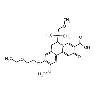 CCOCCOc1cc2c(cc1OC)-c1cc(=O)c(C(=O)O)cn1C(C(C)(C)COC)C2